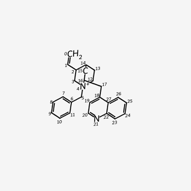 C=CC1C[N+]2(Cc3ccccc3)CCC1CC2Cc1ccnc2ccccc12